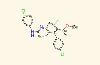 CC(=O)[C@@H](OC(C)(C)C)c1c(C)cc2nc(Nc3ccc(Cl)cc3)ccc2c1-c1ccc(Cl)cc1